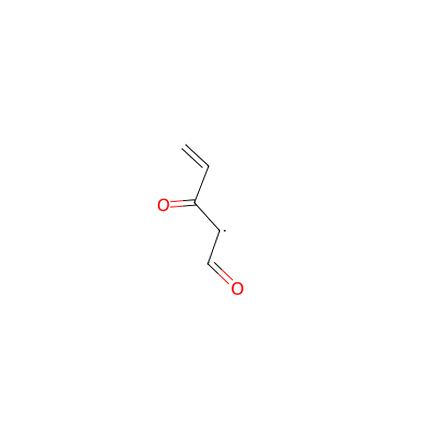 C=CC(=O)[CH]C=O